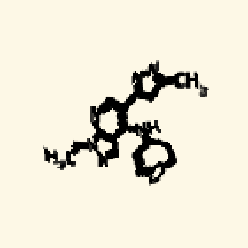 CCn1ncc2c(NC3CCOCC3)c(C3=NN=C(C)C3)cnc21